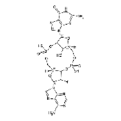 Nc1nc2c(ncn2[C@@H]2O[C@@H]3COP(=O)(S)OC4C(F)[C@H](n5cnc6c(N)ncnc65)O[C@@H]4COP(=O)(S)OC2C3O)c(=O)[nH]1